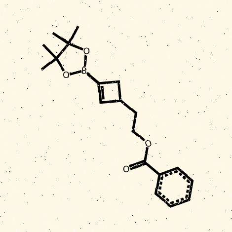 CC1(C)OB(C2=CC(CCOC(=O)c3ccccc3)C2)OC1(C)C